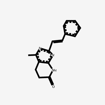 Cc1nc(C=Cc2ccccc2)nc2c1CCC(=O)N2